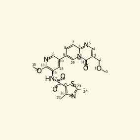 COCc1cnc2ccc(-c3cnc(OC)c(NS(=O)(=O)c4sc(C)nc4C)c3)cn2c1=O